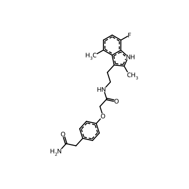 Cc1[nH]c2c(F)ccc(C)c2c1CCNC(=O)COc1ccc(CC(N)=O)cc1